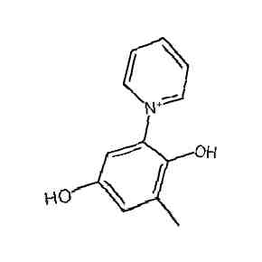 Cc1cc(O)cc(-[n+]2ccccc2)c1O